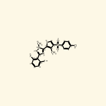 Cc1c(S(=O)(=O)c2ccc(Cl)cc2)csc1-c1nc(-c2c(F)cccc2F)nn1C